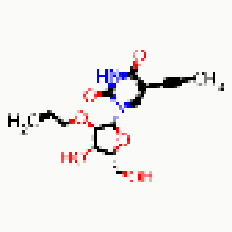 C=CCO[C@@H]1[C@H](O)[C@@H](CO)O[C@H]1n1cc(C#CC)c(=O)[nH]c1=O